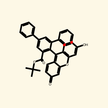 CC(C)(C)OC(=O)c1cc(-c2ccccc2)cc(-c2ccccc2)c1-c1c2ccc(=O)cc-2oc2cc(O)ccc12